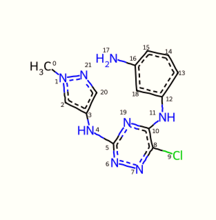 Cn1cc(Nc2nnc(Cl)c(Nc3cccc(N)c3)n2)cn1